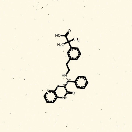 CC(C)(C(=O)O)c1cccc(CCN[C@H](c2ccccc2)[C@@H]2Cc3ncccc3NC2=O)c1